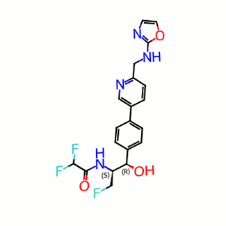 O=C(N[C@H](CF)[C@H](O)c1ccc(-c2ccc(CNc3ncco3)nc2)cc1)C(F)F